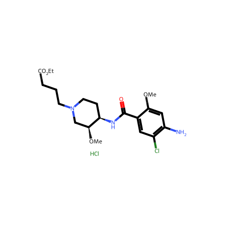 CCOC(=O)CCCN1CC[C@@H](NC(=O)c2cc(Cl)c(N)cc2OC)[C@@H](OC)C1.Cl